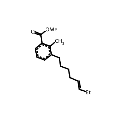 CCC=CCCCCc1cccc(C(=O)OC)c1C